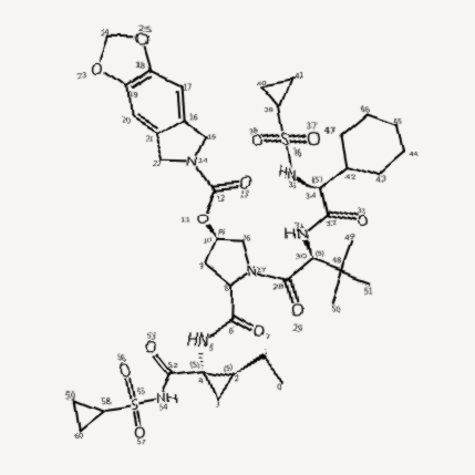 CC[C@H]1C[C@@]1(NC(=O)C1C[C@@H](OC(=O)N2Cc3cc4c(cc3C2)OCO4)CN1C(=O)[C@@H](NC(=O)[C@@H](NS(=O)(=O)C1CC1)C1CCCCC1)C(C)(C)C)C(=O)NS(=O)(=O)C1CC1